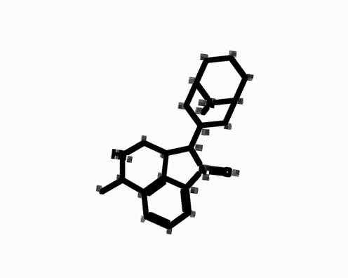 CC1NCC2c3c1cccc3[N+](=O)C2C1CC2CCCC(C1)N2C